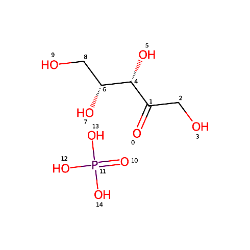 O=C(CO)[C@@H](O)[C@H](O)CO.O=P(O)(O)O